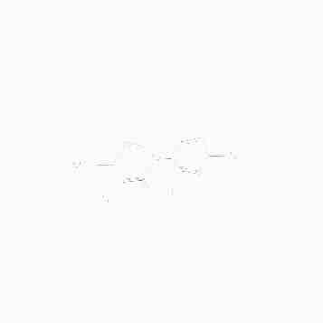 COc1ccn(-c2c(F)cc([N+](=O)[O-])cc2F)c(=O)c1C#N